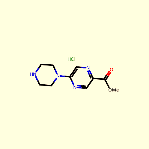 COC(=O)c1cnc(N2CCNCC2)cn1.Cl